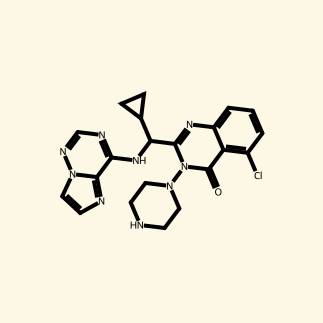 O=c1c2c(Cl)cccc2nc(C(Nc2ncnn3ccnc23)C2CC2)n1N1CCNCC1